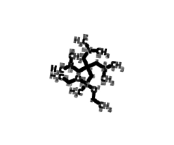 CCO[Si](C)(CC(CN(C)C)(CN(C)C)CN(C)C)OCC